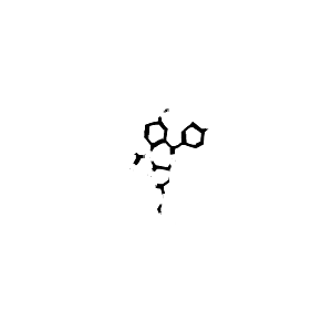 CCNC(=O)C[C@@H]1N=C(c2ccc(Cl)cc2)c2cc(OC)ccc2N(C(C)=N)C1=N